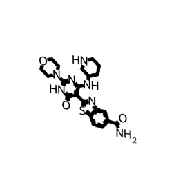 NC(=O)c1ccc2sc(-c3c(NC4CCCNC4)nc(N4CCOCC4)[nH]c3=O)nc2c1